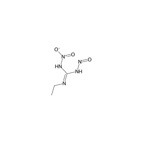 CCN=C(NN=O)N[N+](=O)[O-]